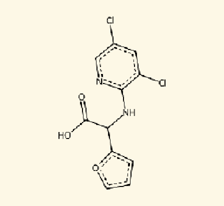 O=C(O)C(Nc1ncc(Cl)cc1Cl)c1ccco1